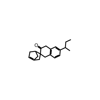 CCC(C)c1ccc2c(c1)CC(=O)C1(CC3=CCC1C3)C2